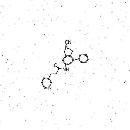 N#CN1Cc2cc(NC(=O)CCc3cccnc3)cc(-c3ccccc3)c2C1